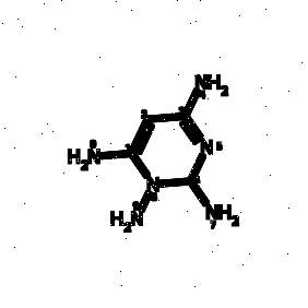 NC1=CC(N)=NC(N)N1N